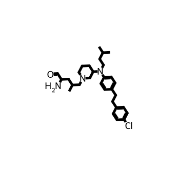 CC(C)CCN(c1ccc(CCc2ccc(Cl)cc2)cc1)C1CCCN(CC(C)CC(N)C=O)C1